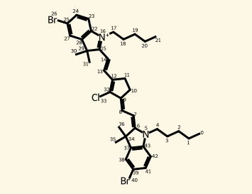 CCCCCN1/C(=C/C=C2\CCC(/C=C/C3=[N+](CCCCC)c4ccc(Br)cc4C3(C)C)=C2Cl)C(C)(C)c2cc(Br)ccc21